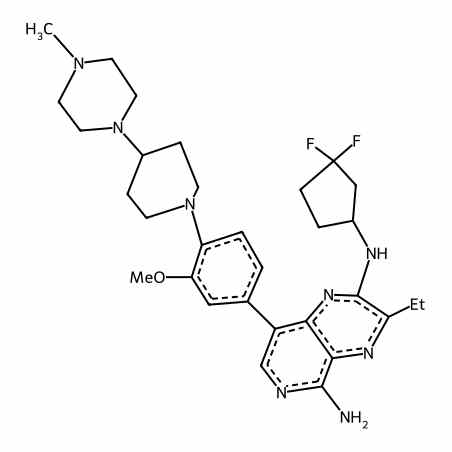 CCc1nc2c(N)ncc(-c3ccc(N4CCC(N5CCN(C)CC5)CC4)c(OC)c3)c2nc1NC1CCC(F)(F)C1